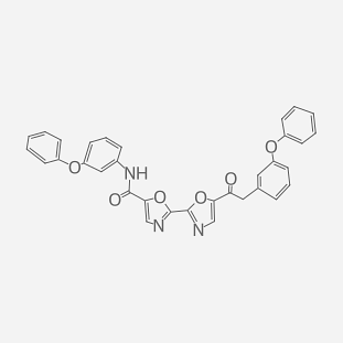 O=C(Cc1cccc(Oc2ccccc2)c1)c1cnc(-c2ncc(C(=O)Nc3cccc(Oc4ccccc4)c3)o2)o1